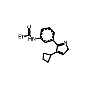 CCC(=O)Nc1cccc(C2=NCC=C2C2CCC2)c1